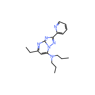 CCCN(CCC)c1cc(CC)nc2nc(-c3ccccn3)nn12